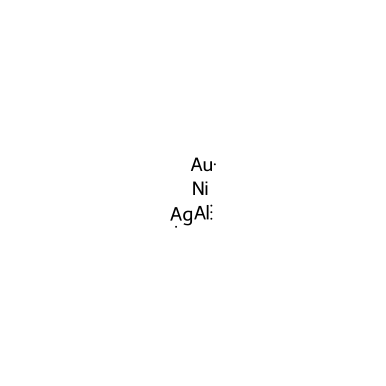 [Ag].[Al].[Au].[Ni]